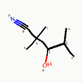 CC(C)C(O)C(C)(C)C#N